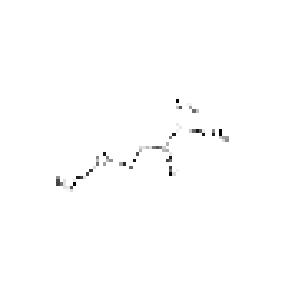 COCCC(=O)C(C)C